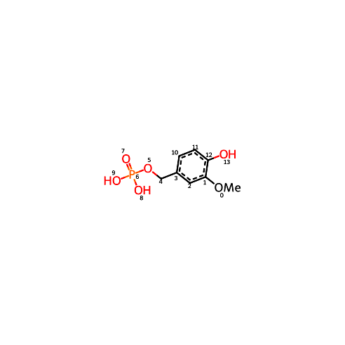 COc1cc(COP(=O)(O)O)ccc1O